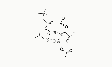 CC(=O)OC[C@@H]1O[C@H](CC(C)C)[C@@H](OC(=O)CC(C)(C)C)[C@H](CC(=O)O)[C@H]1CC(=O)O